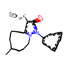 CCOC(=O)c1c2n(n(-c3ccccc3)c1=O)CCC(C)CC2